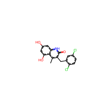 Cc1c(Cc2cc(Cl)ccc2Cl)c(=O)[nH]c2cc(O)cc(O)c12